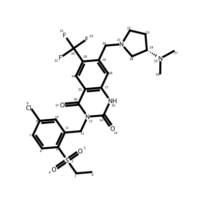 CCS(=O)(=O)c1ccc(Cl)cc1Cn1c(=O)[nH]c2cc(CN3CC[C@H](N(C)C)C3)c(C(F)(F)F)cc2c1=O